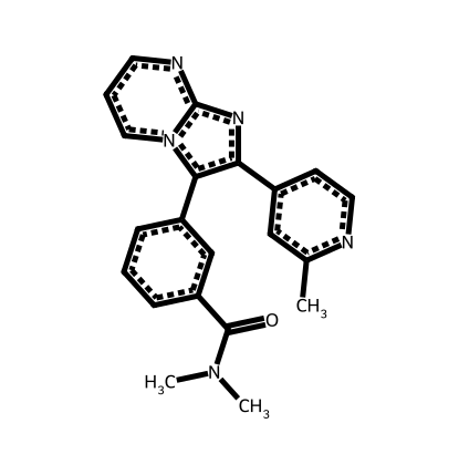 Cc1cc(-c2nc3ncccn3c2-c2cccc(C(=O)N(C)C)c2)ccn1